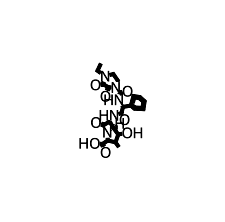 CCN1CCN(C(=O)NC(C(=O)NC2C(=O)N3C(C(=O)O)C(C)C(O)[C@H]23)c2ccccc2)C(=O)C1=O